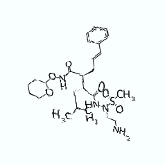 CC(C)C[C@@H](C(=O)NN(CCN)S(C)(=O)=O)[C@H](CC=Cc1ccccc1)C(=O)NOC1CCCCO1